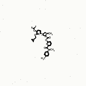 Cc1ccc(N(C)C(=O)c2cccc(OC(=O)[C@H]3C[C@@H](c4ccc(OC(F)F)c(OCC5CC5)c4)CN3C)n2)cc1